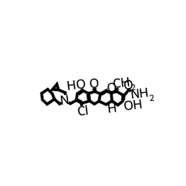 C=C1C(C(N)=O)=C(O)C[C@@H]2CC3Cc4c(Cl)c(CN(CC5CCCCC5)CC5CC5)cc(O)c4C(=O)C3=C3O[C@]132